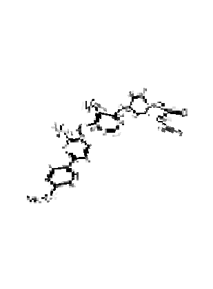 COc1ccc(-c2ccc(Oc3ncnc(OC4CCN(OC(=O)OC(C)C)CC4)c3C)c(C)n2)nc1